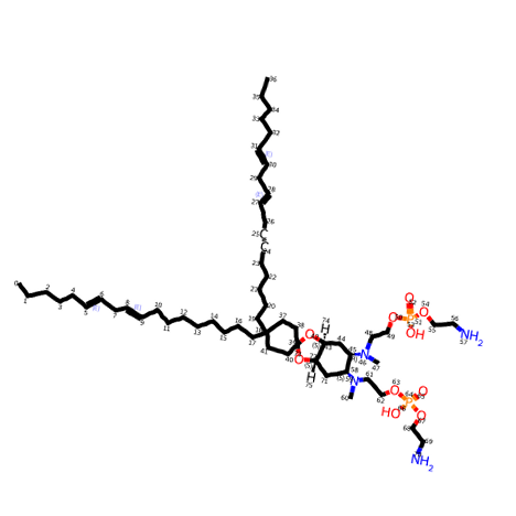 CCCCC/C=C/C/C=C/CCCCCCCCC1(CCCCCCCC/C=C/C/C=C/CCCCC)CCC2(CC1)O[C@H]1C[C@@H](N(C)CCOP(=O)(O)OCCN)[C@@H](N(C)CCOP(=O)(O)OCCN)C[C@@H]1O2